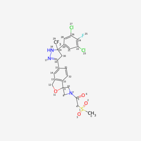 CS(=O)(=O)CC(=O)N1CC2(C1)OCc1cc(C3=NNC(c4cc(Cl)c(F)c(Cl)c4)(C(F)(F)F)C3)ccc12